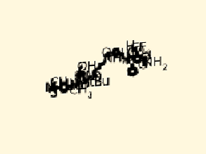 Cc1ncsc1-c1ccc([C@H](C)NC(=O)[C@@H]2C[C@@H](CO)CN2C(=O)C(NC(=O)CCCCCNC(=O)[C@H]2CCN(CC[C@H](CSc3ccccc3)Nc3ccc(S(N)(=O)=O)cc3S(=O)(=O)C(F)(F)F)C2)C(C)(C)C)cc1